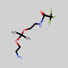 CC(C)(OCCN)OCCNC(=O)C(F)(F)F